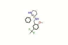 COc1ccc(C(C)(F)F)cc1CN[C@H]1CCCN[C@H]1c1ccccc1